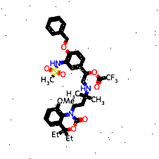 CCC1(CC)OC(=O)N(CCC(C)(C)NCC(OC(=O)C(F)(F)F)c2ccc(OCc3ccccc3)c(NS(C)(=O)=O)c2)c2c(OC)cccc21